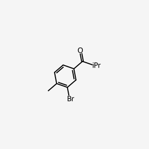 Cc1ccc(C(=O)C(C)C)cc1Br